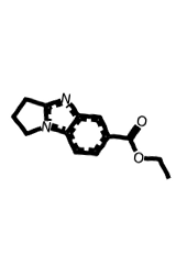 CCOC(=O)c1ccc2c(c1)nc1n2CCC1